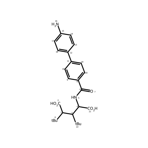 CC(C)(C)C(C(=O)O)C(C(NC(=O)c1ccc(-c2ccc(N)cc2)cc1)C(=O)O)C(C)(C)C